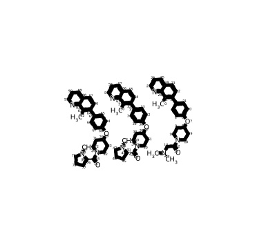 Cc1c(-c2ccc(OC3CCN(C(=O)CN(C)C)CC3)cc2)ccc2cccnc12.Cc1c(-c2ccc(OC3CCN(C(=O)[C@@H]4CCCN4C)CC3)cc2)ccc2cccnc12.Cc1c(-c2ccc(OC3CCN(C(=O)[C@H]4CCCN4C)CC3)cc2)ccc2cccnc12